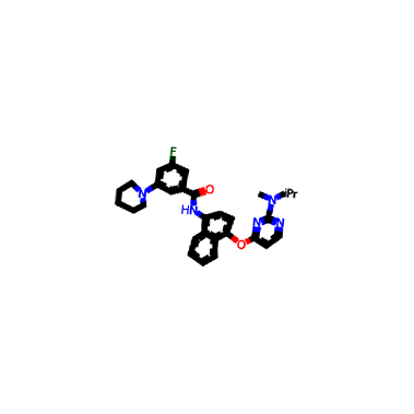 CC(C)N(C)c1nccc(Oc2ccc(NC(=O)c3cc(F)cc(N4CCCCC4)c3)c3ccccc23)n1